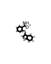 NC(=O)c1ccccc1Sc1csc2ccccc12